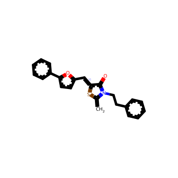 C=c1s/c(=C\c2ccc(-c3ccccc3)o2)c(=O)n1CCc1ccccc1